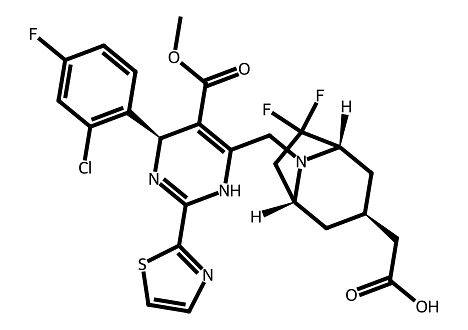 COC(=O)C1=C(CN2[C@@H]3C[C@H](CC(=O)O)C[C@H]2C(F)(F)C3)NC(c2nccs2)=N[C@H]1c1ccc(F)cc1Cl